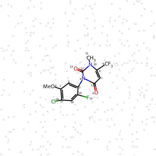 COc1cc(-n2c(=O)cc(C(F)(F)F)n(C)c2=O)c(F)cc1Cl